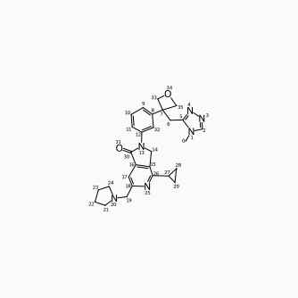 Cn1cnnc1CC1(c2cccc(N3Cc4c(cc(CN5CCCC5)nc4C4CC4)C3=O)c2)COC1